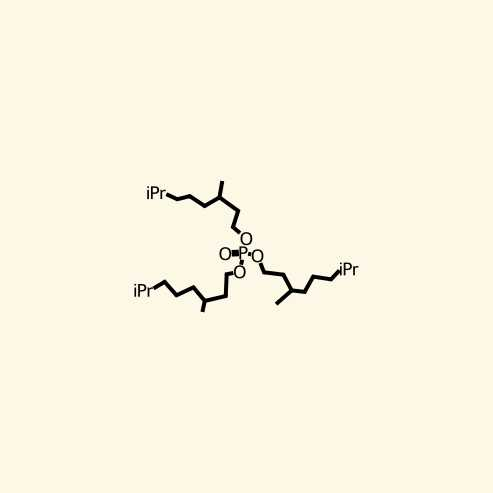 CC(C)CCCC(C)CCOP(=O)(OCCC(C)CCCC(C)C)OCCC(C)CCCC(C)C